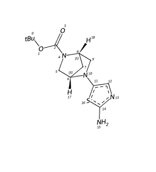 CC(C)(C)OC(=O)N1C[C@@H]2C[C@H]1CN2c1cnc(N)s1